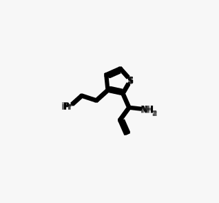 C=CC(N)c1sccc1CCC(C)C